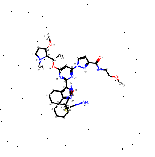 COCCNC(=O)c1ccn(-c2cc(O[C@@H](C)[C@@H]3[C@@H](OC)CCN3C)nc(-c3onc4c3CCC[C@@]43CCCc4sc(N)c(C#N)c43)n2)n1